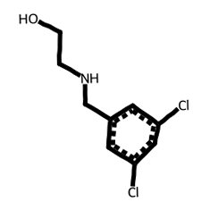 OCCNCc1cc(Cl)cc(Cl)c1